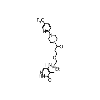 CC[C@@H](COCCC(=O)N1CCN(c2ccc(C(F)(F)F)cn2)CC1)Nc1cn[nH]c(=O)c1C